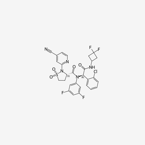 N#Cc1ccnc(N2[C@H](C(=O)N(c3cc(F)cc(F)c3)[C@@H](C(=O)NC3CC(F)(F)C3)c3ccccc3Cl)CCS2(=O)=O)c1